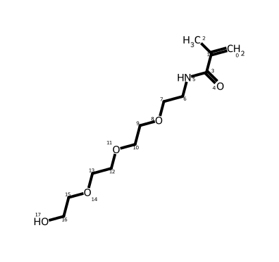 C=C(C)C(=O)NCCOCCOCCOCCO